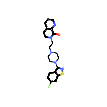 O=c1c2ncccc2ccn1CCN1CCN(c2nsc3cc(F)ccc23)CC1